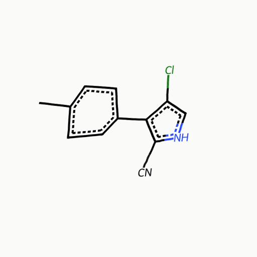 Cc1ccc(-c2c(Cl)c[nH]c2C#N)cc1